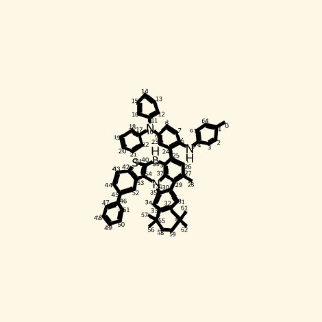 Cc1ccc(Nc2ccc(N(c3ccccc3)c3ccccc3)cc2-c2cc(C)c3c4cc5c(cc4n4c3c2Bc2sc3ccc(-c6ccccc6)cc3c2-4)C(C)(C)CCC5(C)C)cc1